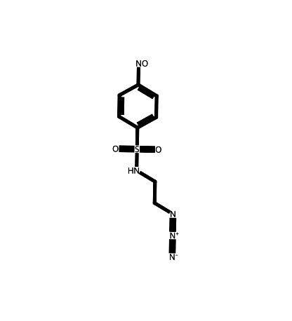 [N-]=[N+]=NCCNS(=O)(=O)c1ccc(N=O)cc1